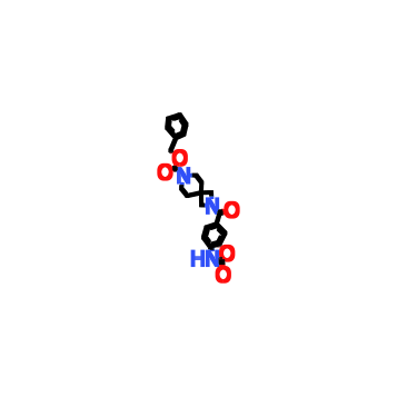 O=C(OCc1ccccc1)N1CCC2(CC1)CN(C(=O)c1ccc3[nH]c(=O)oc3c1)C2